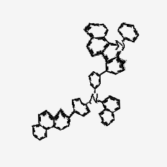 c1ccc(-n2c3cccc(-c4cccc(N(c5ccc(-c6ccc7c(ccc8ccccc87)c6)cc5)c5cccc6ccccc56)c4)c3c3ccc4ccccc4c32)cc1